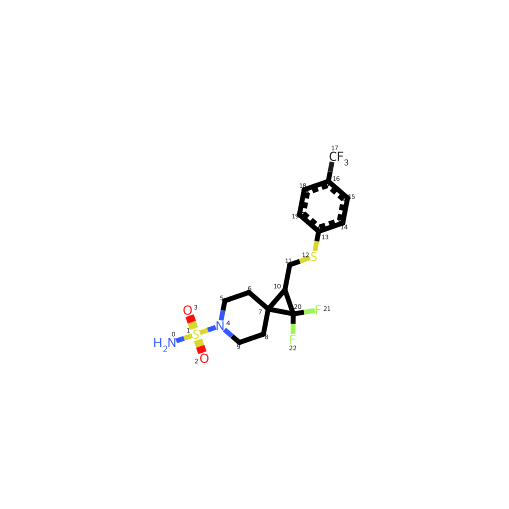 NS(=O)(=O)N1CCC2(CC1)C(CSc1ccc(C(F)(F)F)cc1)C2(F)F